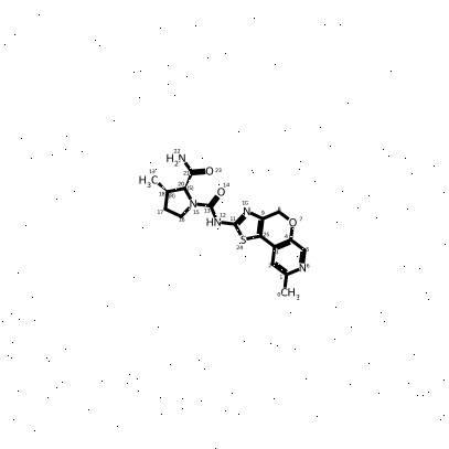 Cc1cc2c(cn1)OCc1nc(NC(=O)N3CC[C@@H](C)[C@H]3C(N)=O)sc1-2